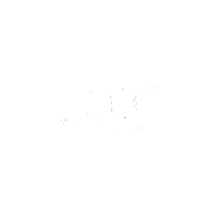 CCCCC1=CC(CC)(C(=O)O)C(CCOC)C(CCCC)=C1